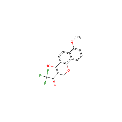 COc1cccc2c3c(ccc12)C(O)=C(C(=O)C(F)(F)F)CO3